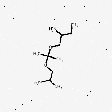 CCC(N)COC(C)(C)OCC(C)N